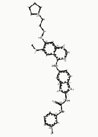 COc1cc2c(Nc3ccc4nc(NC(=O)Nc5cccc(C)c5)sc4c3)ncnc2cc1OCCCN1CCCC1